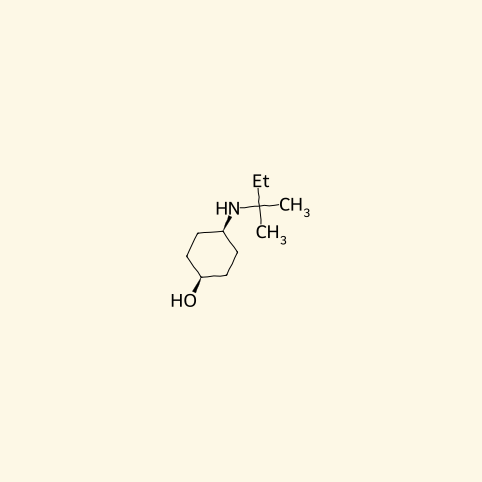 CCC(C)(C)N[C@H]1CC[C@@H](O)CC1